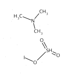 CN(C)C.O=[SH](=O)OI